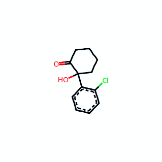 O=C1CCCCC1(O)c1ccccc1Cl